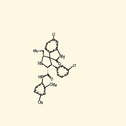 COc1cc(C#N)ccc1NC(=O)[C@@H]1N[C@@H](CC(C)(C)C)C2(C(=O)Nc3cc(Cl)ccc32)[C@H]1c1cccc(Cl)c1